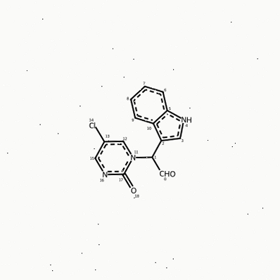 O=CC(c1c[nH]c2ccccc12)n1cc(Cl)cnc1=O